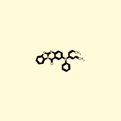 C=C/C=C(\C=C/C)N(c1ccccc1)c1ccc2nc3sc4ccccc4n3c(=O)c2c1